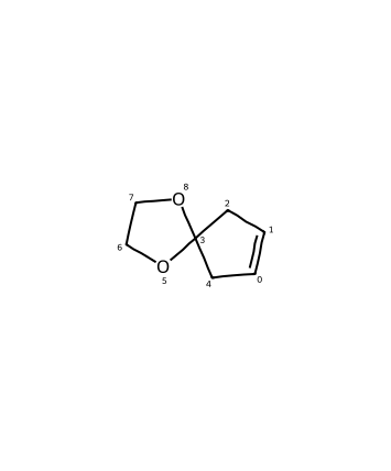 C1=CCC2(C1)OCCO2